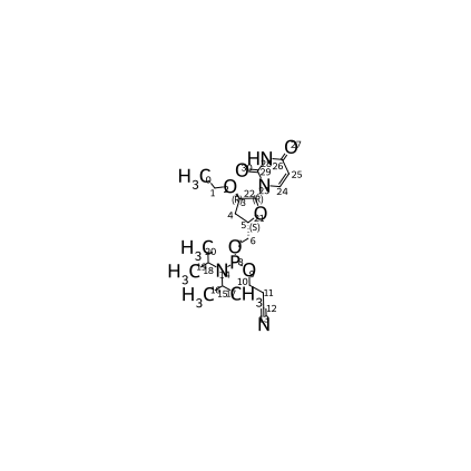 CCO[C@@H]1C[C@@H](COP(OCCC#N)N(C(C)C)C(C)C)O[C@H]1n1ccc(=O)[nH]c1=O